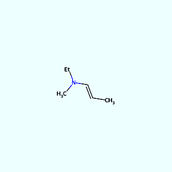 [CH2]CN(C)C=CC